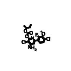 CCC(C)OC(=O)Oc1nc(-c2ccc(Cl)c(OC)c2F)cc(N)c1Cl